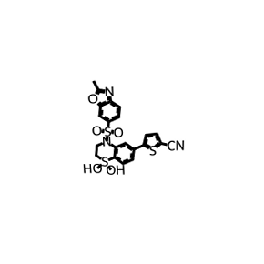 Cc1nc2ccc(S(=O)(=O)N3CCS(O)(O)c4ccc(-c5ccc(C#N)s5)cc43)cc2o1